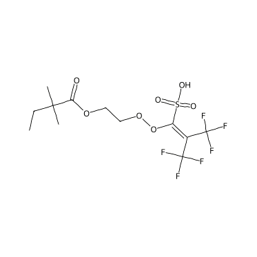 CCC(C)(C)C(=O)OCCOOC(=C(C(F)(F)F)C(F)(F)F)S(=O)(=O)O